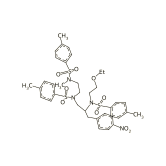 CCOCCN(C(Cc1ccc([N+](=O)[O-])cc1)CN(CCN(C)S(=O)(=O)c1ccc(C)cc1)S(=O)(=O)c1ccc(C)cc1)S(=O)(=O)c1ccc(C)cc1